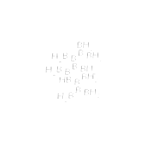 BB(B)B(B)BB(B)B(B)B(B)B(B)B